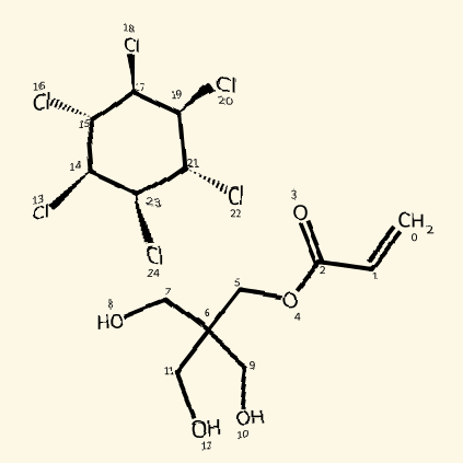 C=CC(=O)OCC(CO)(CO)CO.Cl[C@H]1[C@H](Cl)[C@@H](Cl)[C@@H](Cl)[C@H](Cl)[C@H]1Cl